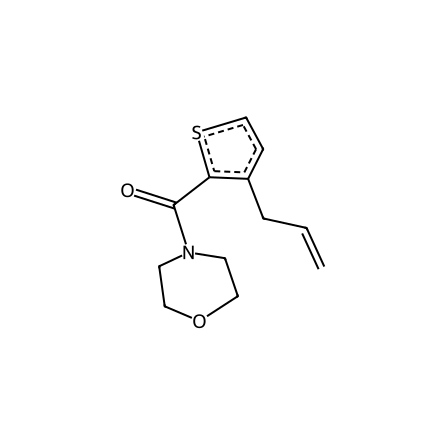 C=CCc1ccsc1C(=O)N1CCOCC1